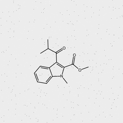 COC(=O)c1c(C(=O)C(C)C)c2ccccc2n1C